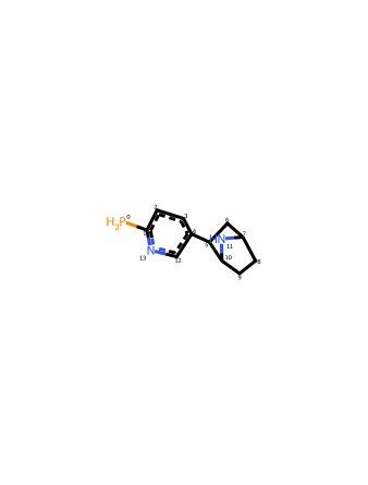 Pc1ccc(C2CC3CCC2N3)cn1